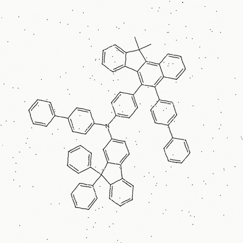 CC1(C)c2ccccc2-c2c(-c3ccc(N(c4ccc(-c5ccccc5)cc4)c4ccc5c(c4)C(c4ccccc4)(c4ccccc4)c4ccccc4-5)cc3)c(-c3ccc(-c4ccccc4)cc3)c3ccccc3c21